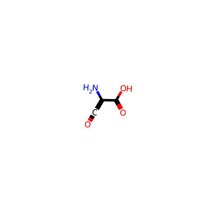 NC(=C=O)C(=O)O